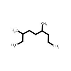 CCCC(C)[CH]CC(C)CC